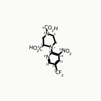 O=C(O)C1CN(C(=O)O)CCN1c1ncc(C(F)(F)F)cc1[N+](=O)[O-]